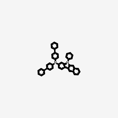 c1ccc(-c2ccc(N(c3ccc(-c4ccccc4)cc3)c3ccc4c5cc6ccccc6cc5n(-c5ccccc5)c4c3)cc2)cc1